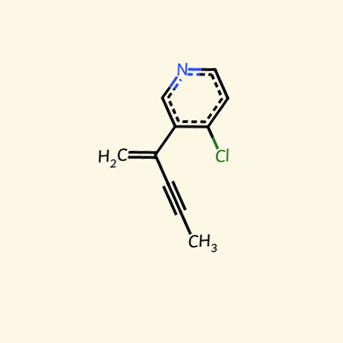 C=C(C#CC)c1cnccc1Cl